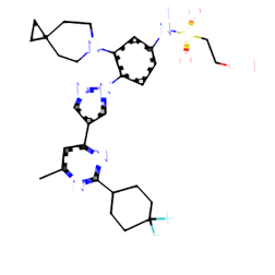 Cc1cc(-c2cnn(-c3ccc(NS(=O)(=O)CCO)cc3N3CCC4(CC3)CC4)c2)nc(C2CCC(F)(F)CC2)n1